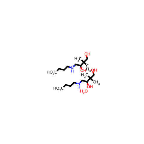 CC(C)(CO)C(O)CNCCCC(=O)O.CC(C)(CO)C(O)CNCCCC(=O)O.O